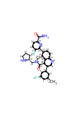 Cc1cc(F)cc(-c2cnc3ccc(-c4nc(C(N)=O)ccc4F)cc3c2C(=O)N(C)C[C@@H]2CCCN2)c1